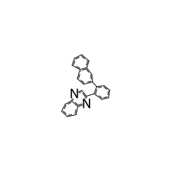 c1ccc(-c2cnc3ccccc3n2)c(-c2ccc3ccccc3c2)c1